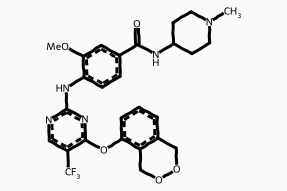 COc1cc(C(=O)NC2CCN(C)CC2)ccc1Nc1ncc(C(F)(F)F)c(Oc2cccc3c2COOC3)n1